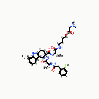 CCC(C)[C@H](NC(=O)Cc1ccccc1F)C(=O)N[C@]1(C(=O)N[C@H](C(=O)NCCCCOC(=O)CN(C)C)C(C)CC)CCc2[nH]c3c(C(F)(F)F)cccc3c2C1